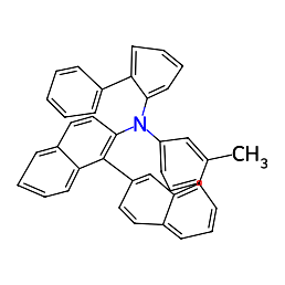 Cc1cccc(N(c2ccccc2-c2ccccc2)c2ccc3ccccc3c2-c2ccc3ccccc3c2)c1